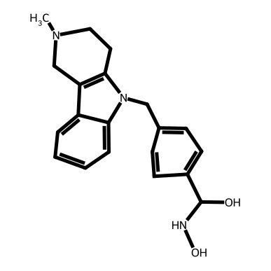 CN1CCc2c(c3ccccc3n2Cc2ccc(C(O)NO)cc2)C1